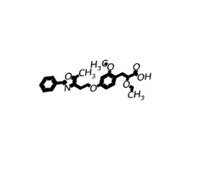 CCOC(Cc1ccc(OCCc2nc(-c3ccccc3)oc2C)cc1OC)C(=O)O